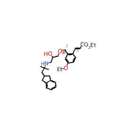 CCOC(=O)/C=C/c1ccc(OCC)cc1[C@@H](C)OCC(O)CNC(C)(C)CC1Cc2ccccc2C1